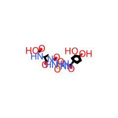 O=C(O)NC1CN(C(=O)NS(=O)(=O)NNC(=O)c2ccc(O)c(O)c2)C1=O